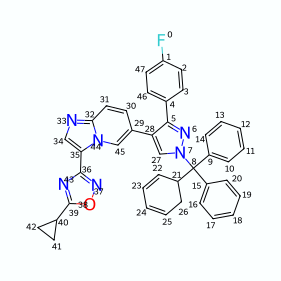 Fc1ccc(-c2nn(C(c3ccccc3)(c3ccccc3)C3C=CC=CC3)cc2-c2ccc3ncc(-c4noc(C5CC5)n4)n3c2)cc1